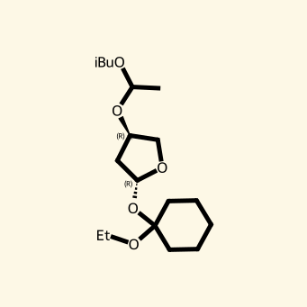 CCOC1(O[C@@H]2C[C@@H](OC(C)OCC(C)C)CO2)CCCCC1